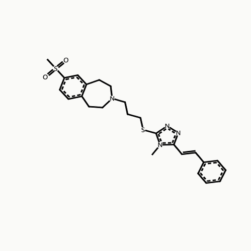 Cn1c(C=Cc2ccccc2)nnc1SCCCN1CCc2ccc(S(C)(=O)=O)cc2CC1